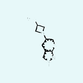 COC1CN(c2cnc3n[nH]cc3c2)C1